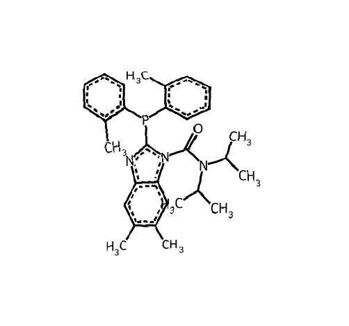 Cc1cc2nc(P(c3ccccc3C)c3ccccc3C)n(C(=O)N(C(C)C)C(C)C)c2cc1C